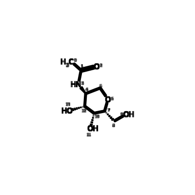 CC(=O)N[C@H]1CO[C@H](CO)[C@H](O)[C@@H]1O